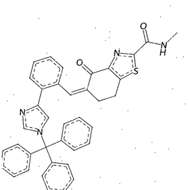 CNC(=O)c1nc2c(s1)CCC(=Cc1ccccc1-c1cn(C(c3ccccc3)(c3ccccc3)c3ccccc3)cn1)C2=O